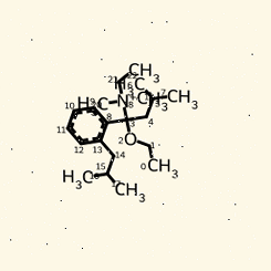 CCOC(CC(C)C)(c1ccccc1CC(C)C)[N+](C)(C)CC